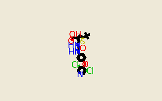 CC(C)(C)c1cc(C(=O)O)c(NC(=O)Nc2ccc(Oc3c(Cl)cncc3Cl)cc2)s1